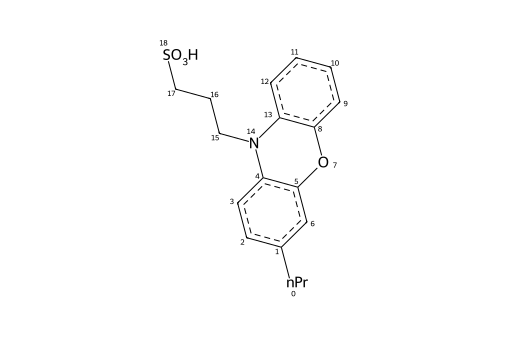 CCCc1ccc2c(c1)Oc1ccccc1N2CCCS(=O)(=O)O